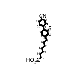 N#Cc1ccc(-c2ccc(CCCCCCCC(=O)O)cc2F)cc1